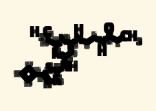 CCC(=O)NCCNc1cc(Nc2ncc(C3CCC3)s2)nc(CC)n1